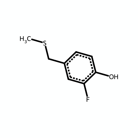 CSCc1ccc(O)c(F)c1